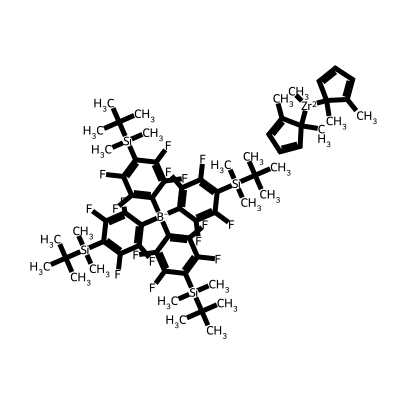 CC(C)(C)[Si](C)(C)c1c(F)c(F)c([B-](c2c(F)c(F)c([Si](C)(C)C(C)(C)C)c(F)c2F)(c2c(F)c(F)c([Si](C)(C)C(C)(C)C)c(F)c2F)c2c(F)c(F)c([Si](C)(C)C(C)(C)C)c(F)c2F)c(F)c1F.CC1=CC=C[C]1(C)[Zr-2]([CH3])[C]1(C)C=CC=C1C